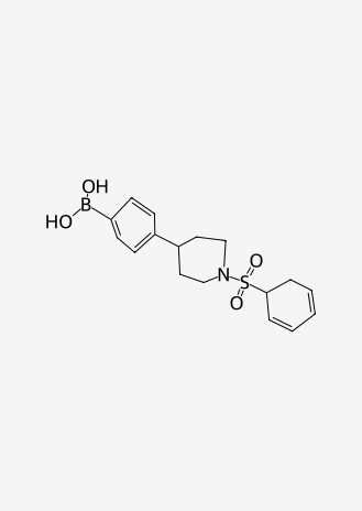 O=S(=O)(C1C=CC=CC1)N1CCC(c2ccc(B(O)O)cc2)CC1